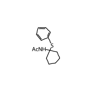 CC(=O)NC1(Sc2ccccc2)CCCCC1